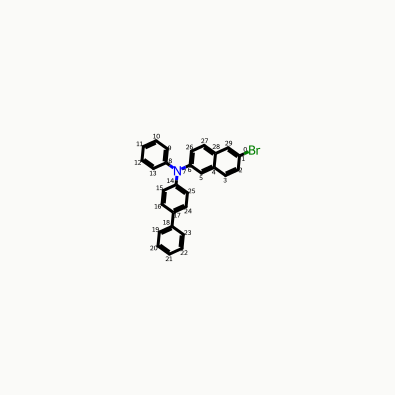 Brc1ccc2cc(N(c3ccccc3)c3ccc(-c4ccccc4)cc3)ccc2c1